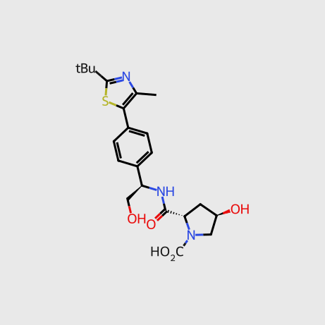 Cc1nc(C(C)(C)C)sc1-c1ccc([C@H](CO)NC(=O)[C@@H]2C[C@@H](O)CN2C(=O)O)cc1